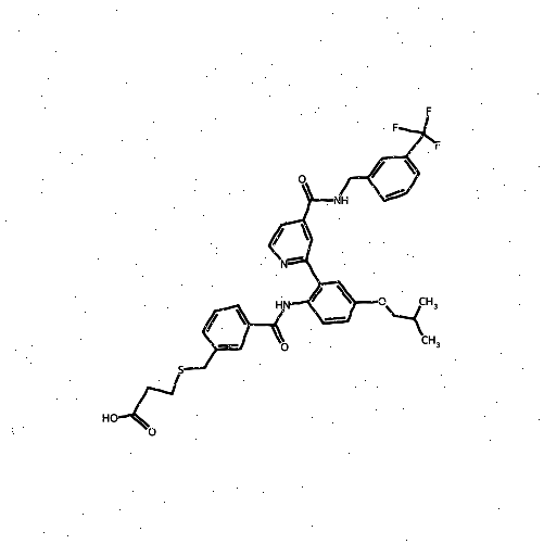 CC(C)COc1ccc(NC(=O)c2cccc(CSCCC(=O)O)c2)c(-c2cc(C(=O)NCc3cccc(C(F)(F)F)c3)ccn2)c1